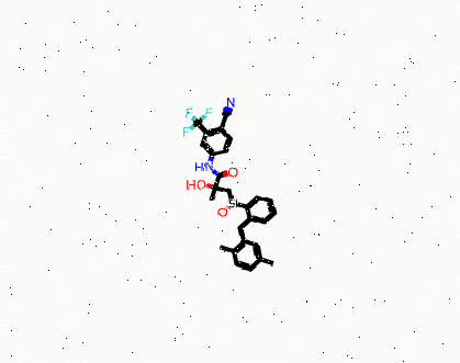 Cc1ccc(C)c(Cc2ccccc2[Si](=O)CC(C)(O)C(=O)Nc2ccc(C#N)c(C(F)(F)F)c2)c1